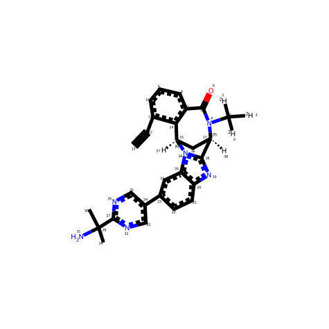 [2H]C([2H])([2H])N1C(=O)c2cccc(C#C)c2[C@H]2C[C@@H]1c1nc3ccc(-c4cnc(C(C)(C)N)nc4)cc3n12